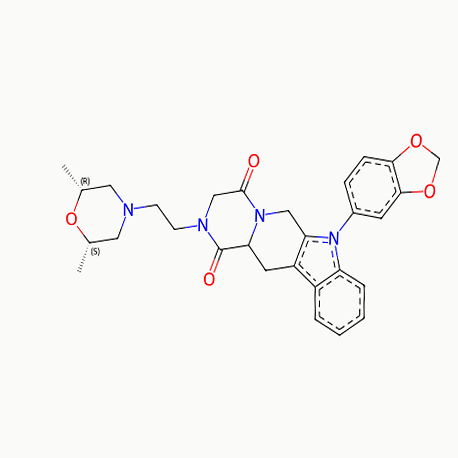 C[C@@H]1CN(CCN2CC(=O)N3Cc4c(c5ccccc5n4-c4ccc5c(c4)OCO5)CC3C2=O)C[C@H](C)O1